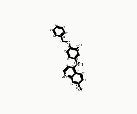 Clc1cc(Nc2ccnc3cc(Br)ccc23)ccc1OCc1ccccc1